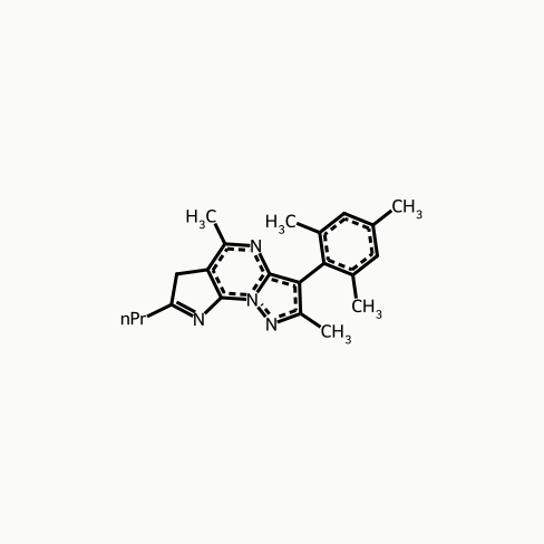 CCCC1=Nc2c(c(C)nc3c(-c4c(C)cc(C)cc4C)c(C)nn23)C1